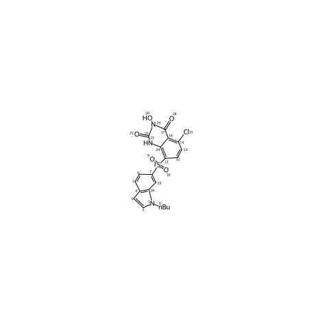 CCCCn1ccc2ccc(S(=O)(=O)c3ccc(Cl)c4c(=O)n(O)c(=O)[nH]c34)cc21